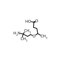 CC(CCC(=O)O)OCCC(C)(C)N